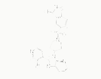 O=S(=O)(c1ccc2snc(Cl)c2c1)N1CCC(n2c(-c3ccncc3Cl)nc3cccnc32)CC1